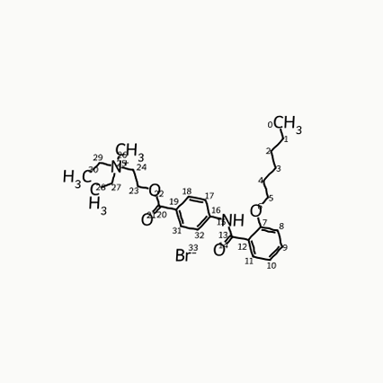 CCCCCCOc1ccccc1C(=O)Nc1ccc(C(=O)OCC[N+](C)(CC)CC)cc1.[Br-]